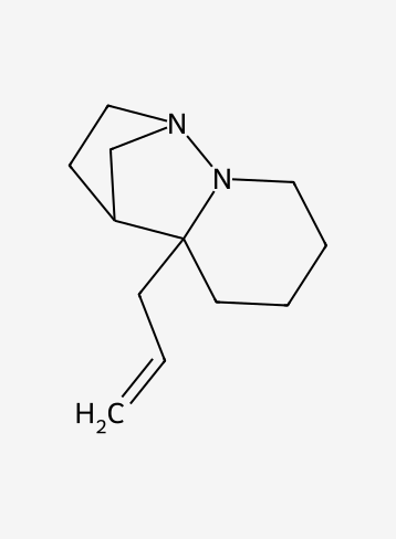 C=CCC12CCCCN1N1CCC2C1